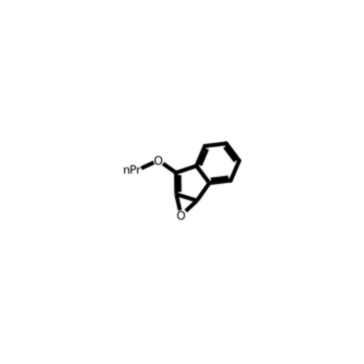 CCCOC1=C2OC2c2ccccc21